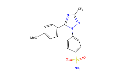 COc1ccc(-c2nc(C(F)(F)F)nn2-c2ccc(S(N)(=O)=O)cc2)cc1